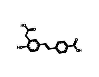 O=C(O)Cc1cc(C=Cc2ccc(C(=O)O)cc2)ccc1O